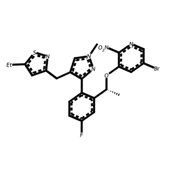 CCc1cc(Cc2cn(C)nc2-c2ccc(F)cc2[C@@H](C)Oc2cc(Br)cnc2[N+](=O)[O-])ns1